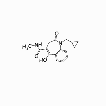 CNC(=O)C1=C(O)c2ccccc2N(CC2CC2)C(=O)C1